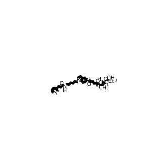 CCC(C)(C)OCCC(C)(C)OC(=O)CCC(=O)Oc1ccc2c(ccn2CCCCCCNC(=O)/C=C/c2cccnc2)c1